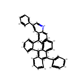 c1ccc(-c2cnc3cccc(-c4ccccc4-c4c5ccccc5c(-c5ccccc5)c5ccccc45)c3c2)cc1